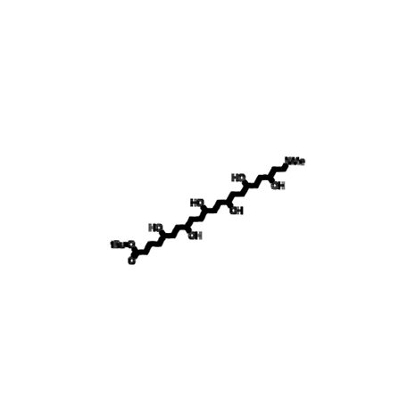 [CH2]NCCC(O)CCC(O)CCC(O)CCC(O)CCC(O)CCC(O)CCCC(=O)OC(C)(C)C